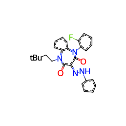 CC(C)(C)CCn1c(=O)/c(=N/Nc2ccccc2)c(=O)n(-c2ccccc2F)c2ccccc21